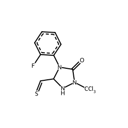 O=C1N(c2ccccc2F)C(C=S)NN1C(Cl)(Cl)Cl